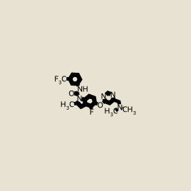 Cc1cc2c(F)c(Oc3cc(CN(C)C)ncn3)ccc2n1C(=O)Nc1cccc(C(F)(F)F)c1